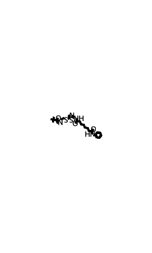 CC(C)(C)c1cnc(CSc2cnc(NC(=O)CCCCCCC(=O)Nc3ccccc3)s2)o1